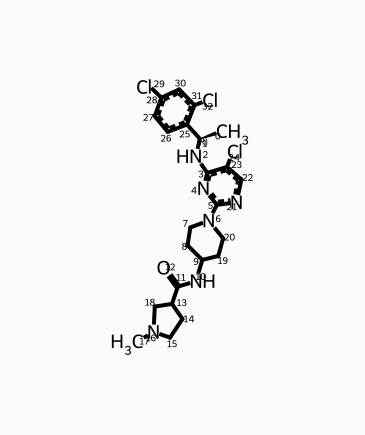 C[C@@H](Nc1nc(N2CCC(NC(=O)C3CCN(C)C3)CC2)ncc1Cl)c1ccc(Cl)cc1Cl